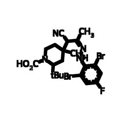 CC(=NNc1c(Br)cc(F)cc1Br)C(C#N)C1(C)CCN(C(=O)O)C(C(C)(C)C)C1